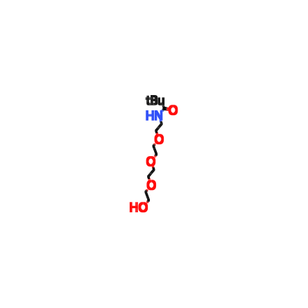 CC(C)(C)C(=O)NCCOCCOCCOCCO